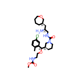 COC(=O)NCCO[C@@H](c1cc(Cl)ccc1C)[C@@H]1CCCN(C(=O)NC[C@@H](N)C[C@H]2CCCCOC2)C1